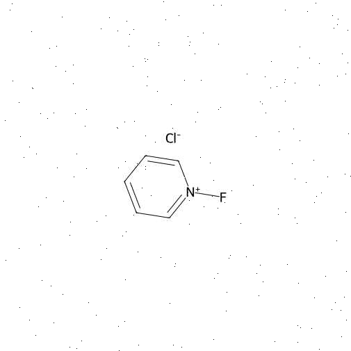 F[n+]1ccccc1.[Cl-]